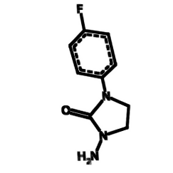 NN1CCN(c2ccc(F)cc2)C1=O